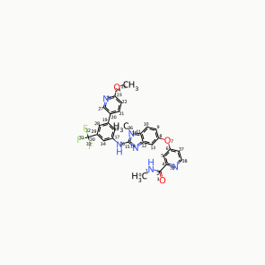 CNC(=O)c1cc(Oc2ccc3c(c2)nc(Nc2cc(-c4ccc(OC)nc4)cc(C(F)(F)F)c2)n3C)ccn1